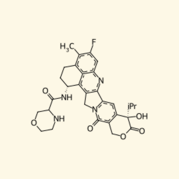 Cc1c(F)cc2nc3c(c4c2c1CC[C@H]4NC(=O)C1COCCN1)Cn1c-3cc2c(c1=O)COC(=O)[C@@]2(O)C(C)C